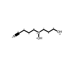 N#CCCCN(O)CCCO